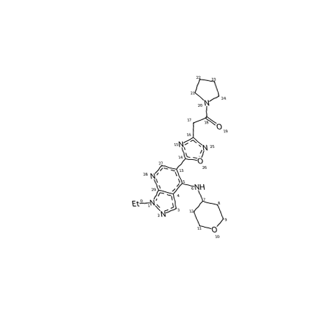 CCn1ncc2c(NC3CCOCC3)c(-c3nc(CC(=O)N4CCCC4)no3)cnc21